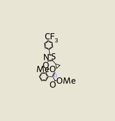 CO/C=C(/C(=O)OC)c1ccccc1COc1nc(-c2ccc(C(F)(F)F)cc2)sc1C1CC1